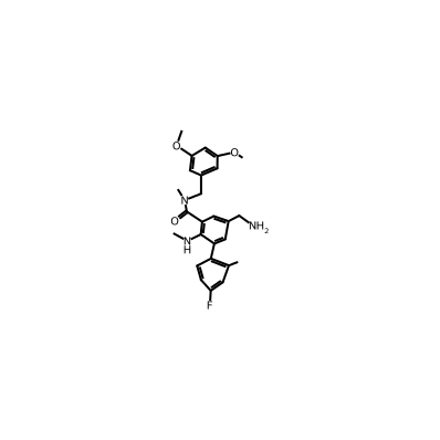 CNc1c(C(=O)N(C)Cc2cc(OC)cc(OC)c2)cc(CN)cc1-c1ccc(F)cc1C